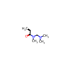 C=CC(=O)N(C)CN(C)C